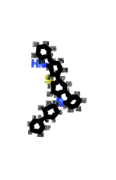 c1ccc(-c2ccc(-n3c4ccccc4c4cc5c(cc43)sc3c5ccc4c5ccccc5[nH]c43)cc2)cc1